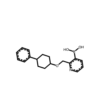 OB(O)c1cccnc1COC1CCC(c2ccccc2)CC1